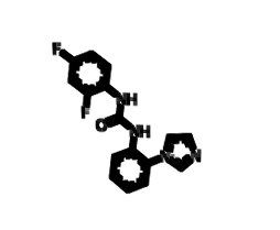 O=C(Nc1ccc(F)cc1F)Nc1ccccc1-n1ccnc1